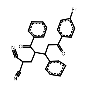 N#CC(C#N)CC(C(=O)c1ccccc1)C(CC(=O)c1ccc(Br)cc1)c1ccccc1